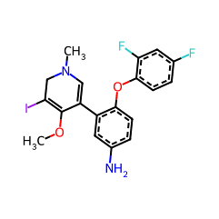 COC1=C(I)CN(C)C=C1c1cc(N)ccc1Oc1ccc(F)cc1F